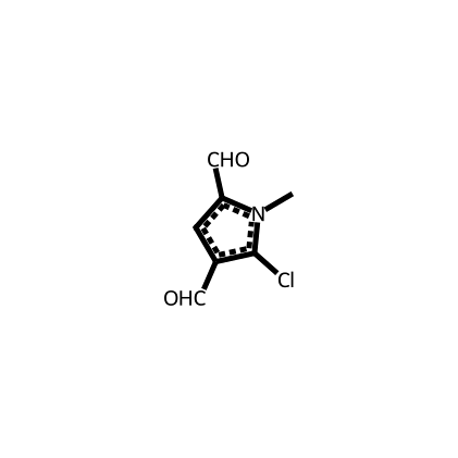 Cn1c(C=O)cc(C=O)c1Cl